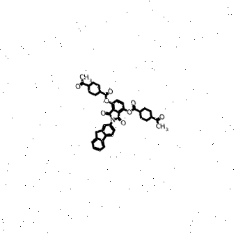 CC(=O)C1CCC(C(=O)Oc2ccc(OC(=O)C3CCC(C(C)=O)CC3)c3c2C(=O)N(c2ccc4c(c2)Cc2ccccc2-4)C3=O)CC1